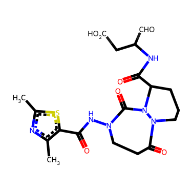 Cc1nc(C)c(C(=O)NN2CCC(=O)N3CCCC(C(=O)NC(C=O)CC(=O)O)N3C2=O)s1